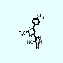 N#Cc1[nH]nnc1-c1cc(-c2ccc(C(F)(F)F)cc2)nc(C(F)(F)F)n1